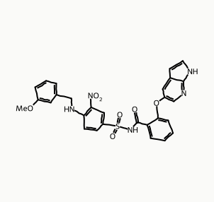 COc1cccc(CNc2ccc(S(=O)(=O)NC(=O)c3ccccc3Oc3cnc4[nH]ccc4c3)cc2[N+](=O)[O-])c1